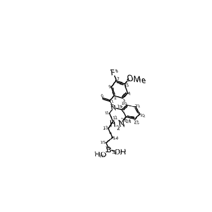 C=C(c1ccc(OC)c(F)c1)N(CCCCCB(O)O)c1ccccc1N